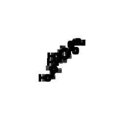 CC(C)(C)OC(=O)N1CCC(O)(CNC2CC(CO)C2)CC1